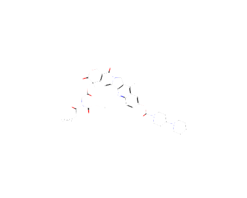 CCc1c2c(nc3ccc(OC(=O)N4CCC(N5CCCCC5)CC4)cc13)-c1cc3c(c(=O)n1C2)COC(=O)C3(CC)OC(=O)CN(C(=O)CNC)C(=O)OC(C)(C)C